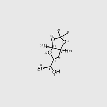 CC[C@H](O)[C@@H]1C[C@H]2OC(C)(C)O[C@H]2O1